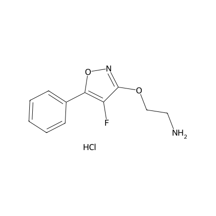 Cl.NCCOc1noc(-c2ccccc2)c1F